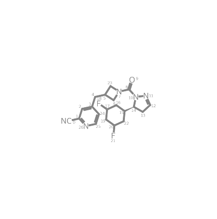 N#Cc1cc(CC2CN(C(=O)N3N=CC[C@H]3C3CC(F)CC(F)C3)C2)ccn1